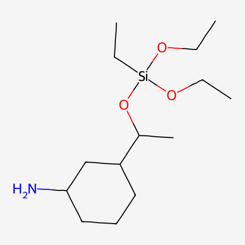 CCO[Si](CC)(OCC)OC(C)C1CCCC(N)C1